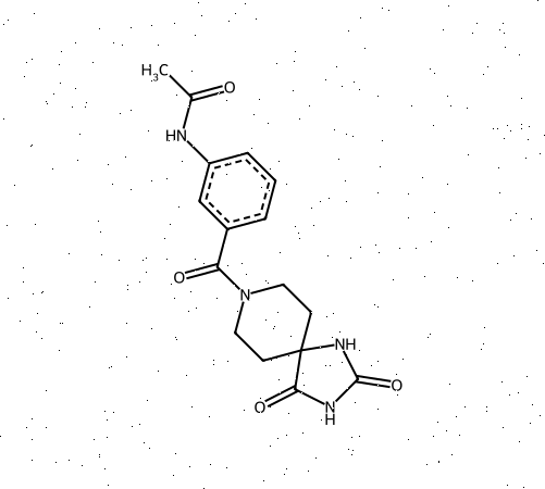 CC(=O)Nc1cccc(C(=O)N2CCC3(CC2)NC(=O)NC3=O)c1